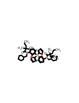 CCCC(C)(CC)C(=O)N(CC1CCCCC1)c1ccc(F)[c]([Ti]([C]2=CC=CC2)([C]2=CC=CC2)[c]2c(F)ccc(N(CC3CCCCC3)C(=O)C(C)(CC)CCC)c2F)c1F